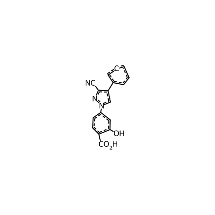 N#Cc1nn(-c2ccc(C(=O)O)c(O)c2)cc1-c1ccccc1